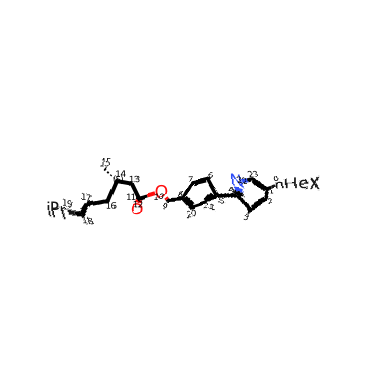 CCCCCCc1ccc(-c2ccc(COC(=O)C[C@@H](C)CCCC(C)C)cc2)nc1